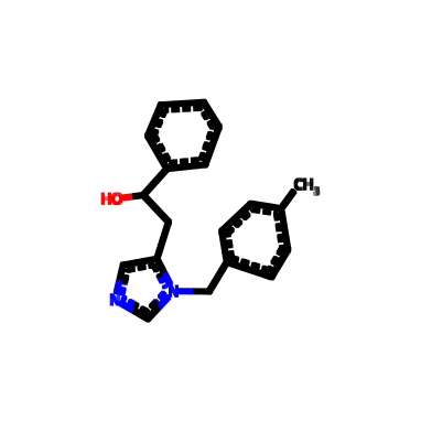 Cc1ccc(Cn2cncc2CC(O)c2ccccc2)cc1